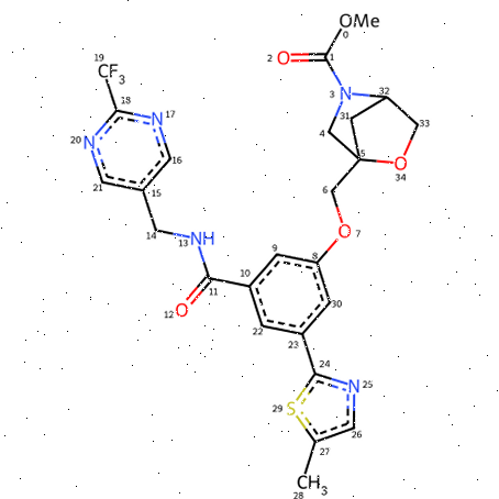 COC(=O)N1CC2(COc3cc(C(=O)NCc4cnc(C(F)(F)F)nc4)cc(-c4ncc(C)s4)c3)CC1CO2